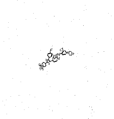 CCS(=O)(=O)N1CCC(c2nc(-c3ccc(F)cc3)c(-c3ccnc(Nc4ccc(N5CCN(C)CC5)cc4OC)n3)s2)CC1